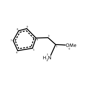 COC(N)Cc1ccccc1